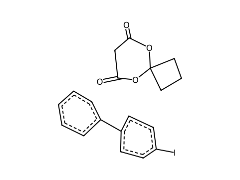 Ic1ccc(-c2ccccc2)cc1.O=C1CC(=O)OC2(CCC2)O1